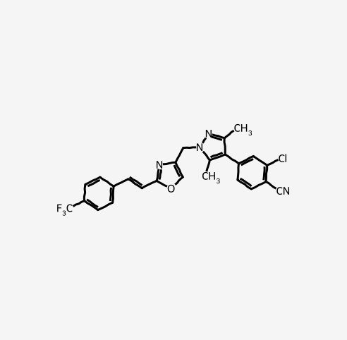 Cc1nn(Cc2coc(C=Cc3ccc(C(F)(F)F)cc3)n2)c(C)c1-c1ccc(C#N)c(Cl)c1